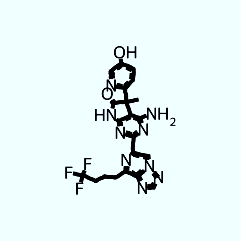 CC1(c2ccc(O)cn2)C(=O)Nc2nc(-c3cn4ncnc4c(CCCC(F)(F)F)n3)nc(N)c21